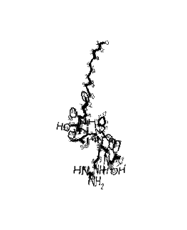 CCCCCCCCCCCOCCCC(=O)N[C@H](C(=O)N[C@H](C(=O)N[C@@H](Cc1ccccc1)C(=O)N[C@@H](CCCNC(=N)N)C(=O)N[C@@H](CO)C(C)=O)C(C)C)[C@@H](C)O